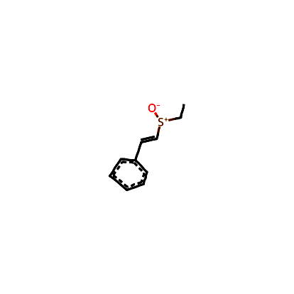 CC[S+]([O-])/C=C/c1ccccc1